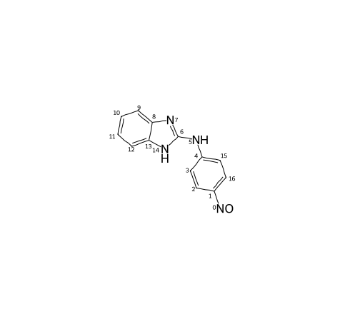 O=Nc1ccc(Nc2nc3ccccc3[nH]2)cc1